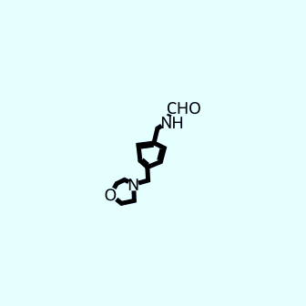 O=CNCc1ccc(CN2CCOCC2)cc1